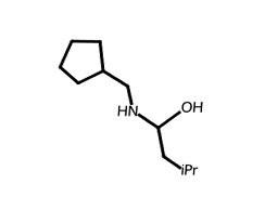 CC(C)CC(O)NCC1CCCC1